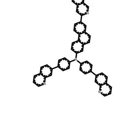 c1ccc2cc(-c3ccc4c(ccc5cc(N(c6ccc(-c7ccc8cccnc8c7)cc6)c6ccc(-c7ccc8cccnc8c7)cc6)ccc54)c3)ncc2c1